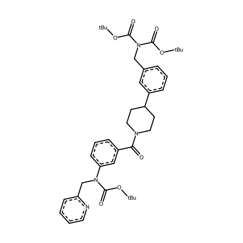 CC(C)(C)OC(=O)N(Cc1cccc(C2CCN(C(=O)c3cccc(N(Cc4ccccn4)C(=O)OC(C)(C)C)c3)CC2)c1)C(=O)OC(C)(C)C